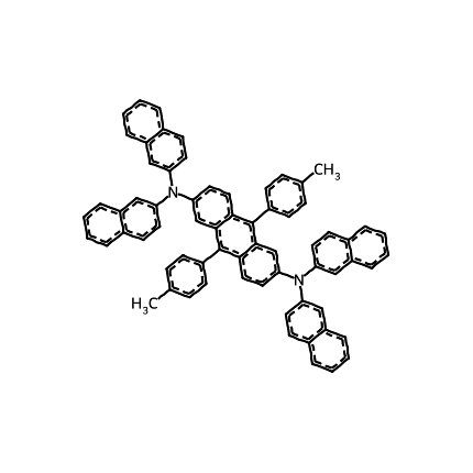 Cc1ccc(-c2c3ccc(N(c4ccc5ccccc5c4)c4ccc5ccccc5c4)cc3c(-c3ccc(C)cc3)c3ccc(N(c4ccc5ccccc5c4)c4ccc5ccccc5c4)cc23)cc1